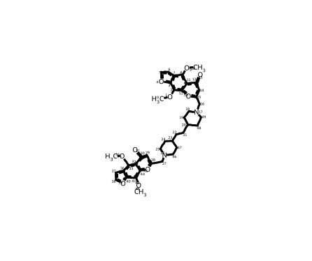 COc1c2occc2c(OC)c2c(=O)cc(CN3CCC(CCC4CCN(Cc5cc(=O)c6c(OC)c7ccoc7c(OC)c6o5)CC4)CC3)oc12